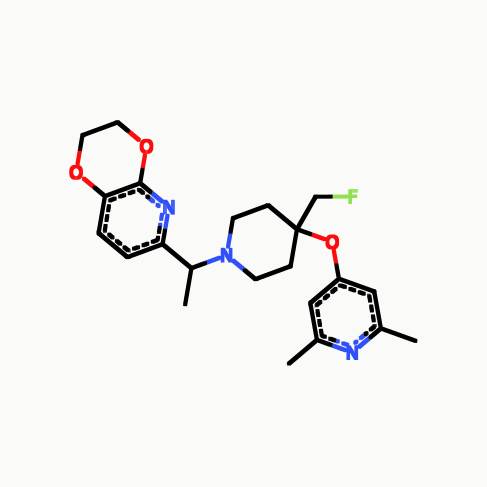 Cc1cc(OC2(CF)CCN(C(C)c3ccc4c(n3)OCCO4)CC2)cc(C)n1